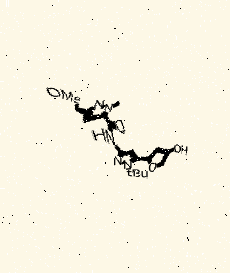 COCc1cc(C(=O)Nc2cc(C3CC(O)CO3)n(C(C)(C)C)n2)n(C)n1